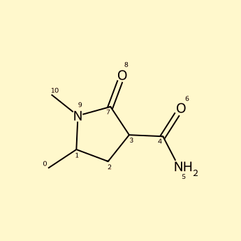 CC1CC(C(N)=O)C(=O)N1C